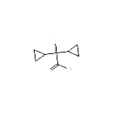 NC(=O)C(O)(C1CC1)C1CC1